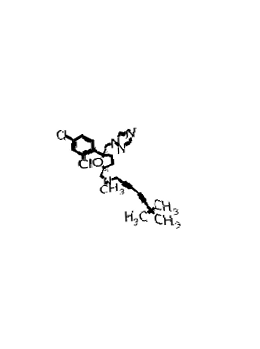 CN(CC#CC#CC(C)(C)C)C[C@@H]1CC[C@@](Cn2cncn2)(c2ccc(Cl)cc2Cl)O1